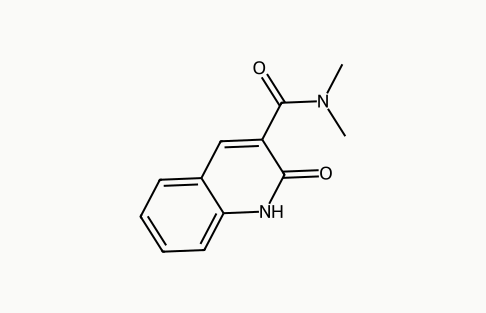 CN(C)C(=O)c1cc2ccccc2[nH]c1=O